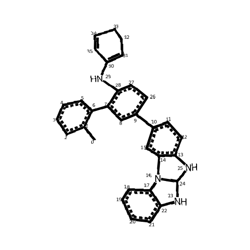 Cc1ccccc1-c1cc(-c2ccc3c(c2)N2c4ccccc4NC2N3)ccc1NC1=CCCC=C1